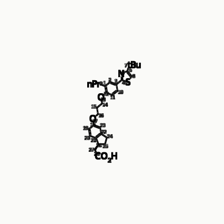 CCCc1cc(-c2nc(C(C)(C)C)cs2)ccc1OCCCOc1ccc2c(c1)CC[C@H]2CC(=O)O